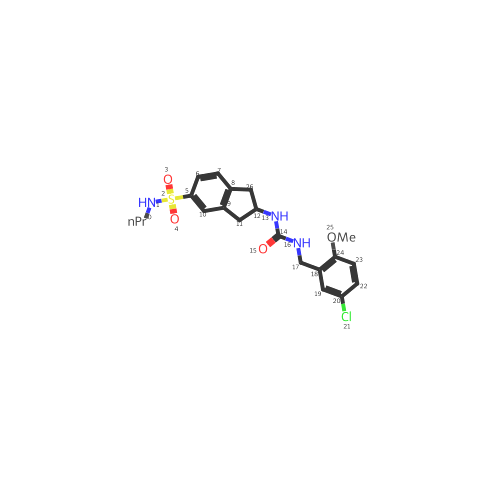 CCCNS(=O)(=O)c1ccc2c(c1)CC(NC(=O)NCc1cc(Cl)ccc1OC)C2